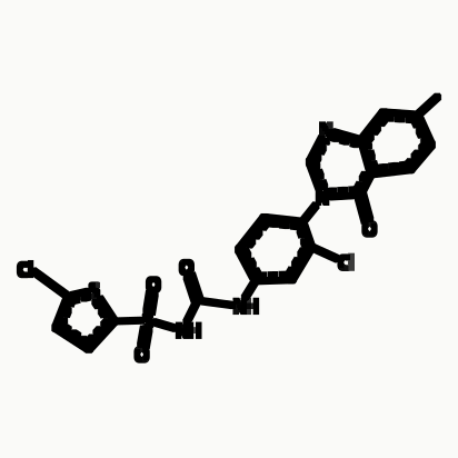 Cc1ccc2c(=O)n(-c3ccc(NC(=O)NS(=O)(=O)c4ccc(Cl)s4)cc3Cl)cnc2c1